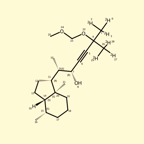 [2H]C([2H])([2H])C(C#C[C@H](O)[C@@H](C)[C@H]1CC[C@H]2[C@@H](C)CCC[C@]12C)(OCOC)C([2H])([2H])[2H]